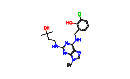 CC(C)n1cnc2c(NCc3cccc(Cl)c3O)nc(NCCC(C)(C)O)nc21